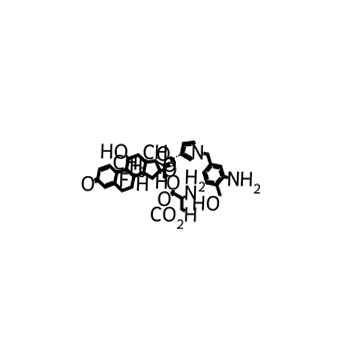 C[C@]12C=CC(=O)C=C1CC[C@H]1[C@@H]3C[C@H]4O[C@@H](c5ccn(Cc6ccc(CO)c(N)c6)c5)O[C@@]4(C(=O)COC(=O)[C@@H](N)CC(=O)O)[C@@]3(C)C[C@H](O)[C@@]12F